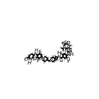 COc1cc(C(=O)NC2CC3(CCN(CC4CCN(c5cc(F)c(NC6CCC(=O)NC6=O)cc5F)CC4)CC3)C2)c(F)cc1Nc1ncc2c(n1)N(C(C)C)CC(F)(F)C(=O)N2C